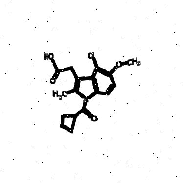 COc1ccc2c(c1Cl)c(CC(=O)O)c(C)n2C(=O)C1CCC1